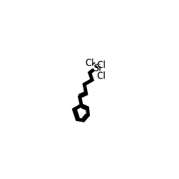 Cl[Si](Cl)(Cl)CCCC=Cc1ccccc1